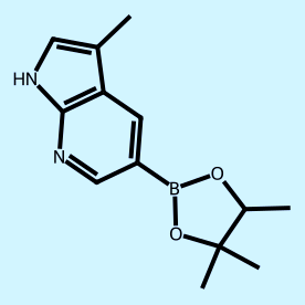 Cc1c[nH]c2ncc(B3OC(C)C(C)(C)O3)cc12